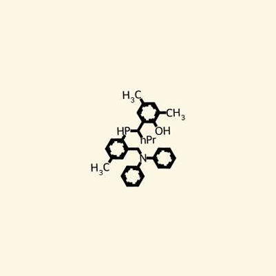 CCCC(Pc1ccc(C)cc1CN(c1ccccc1)c1ccccc1)c1cc(C)cc(C)c1O